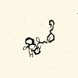 O=C1Nc2cccnc2N(C(=O)CCCN2CCCC(CCN3CCCC3)C2)c2ccccc21